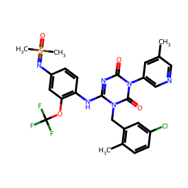 Cc1cncc(-n2c(=O)nc(Nc3ccc(N=S(C)(C)=O)cc3OC(F)(F)F)n(Cc3cc(Cl)ccc3C)c2=O)c1